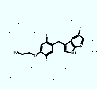 OCCOc1cc(F)c(Cc2c[nH]c3ncc(Cl)cc23)cc1F